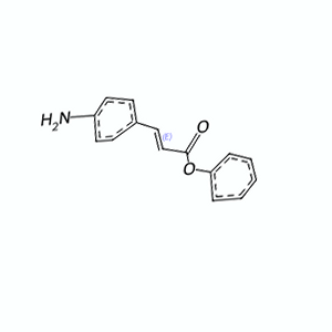 Nc1ccc(/C=C/C(=O)Oc2ccccc2)cc1